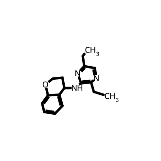 CCc1cnc(CC)c(NC2CCOc3ccccc32)n1